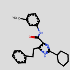 O=C(O)c1cccc(NC(=O)c2nc(C3CCCCC3)[nH]c2CCc2ccccc2)c1